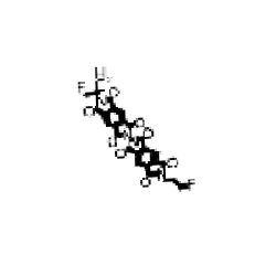 C=C(CF)n1c(=O)c2cc3c(=O)n(-n4c(=O)c5cc6c(=O)n(CCCF)c(=O)c6cc5c4=O)c(=O)c3cc2c1=O